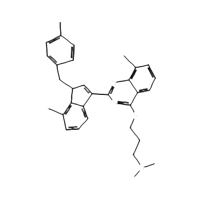 Cc1ccc(CC2C=C(c3nc(NCCCN(C)C)c4cccc(C)c4n3)c3cccc(Cl)c32)cc1